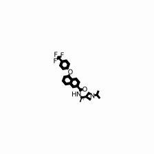 CC(C)N1CC([C@@H](C)NC(=O)c2ccc3c(Oc4ccc(C(F)(F)F)cc4)cccc3c2)C1